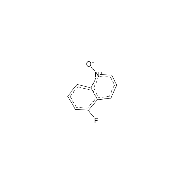 [O-][n+]1cccc2c(F)cccc21